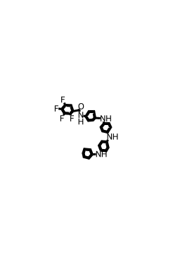 O=C(Nc1ccc(Nc2ccc(Nc3ccc(Nc4ccccc4)cc3)cc2)cc1)c1cc(F)c(F)c(F)c1F